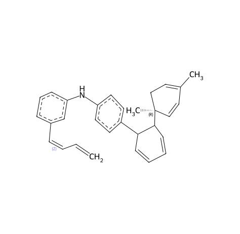 C=C/C=C\c1cccc(Nc2ccc(C3C=CC=CC3[C@]3(C)C=CC(C)=CC3)cc2)c1